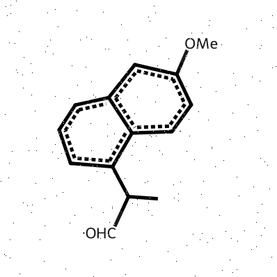 COc1ccc2c(C(C)[C]=O)cccc2c1